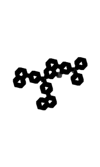 c1ccc(N(c2ccccc2)c2ccc3c(c2)Oc2cc(N(c4ccc(-c5cccc6ccccc56)cc4)c4ccc(-c5cccc6ccccc56)cc4)cc4cccc-3c24)cc1